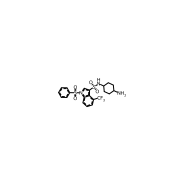 NC1CCC(NS(=O)(=O)c2cn(S(=O)(=O)c3ccccc3)c3cccc(C(F)(F)F)c23)CC1